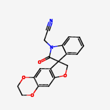 N#CCN1C(=O)C2(COc3cc4c(cc32)OCCO4)c2ccccc21